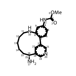 COC(=O)Nc1ccc2c(c1)NCCCCC[C@H](N)c1cncc-2c1